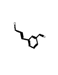 O=Cc1cccc(/C=C/CCl)c1